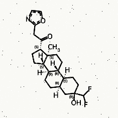 C[C@]12CC[C@H]3[C@@H](CC[C@@H]4C[C@@](O)(C(F)F)CC[C@@H]43)[C@@H]1CC[C@@H]2C(=O)Cc1ncco1